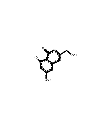 COc1cc(O)c2c(=O)sc(CC(=O)O)cc2c1